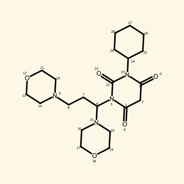 O=C1CC(=O)N(C(CCN2CCOCC2)N2CCOCC2)C(=O)N1C1CCCCC1